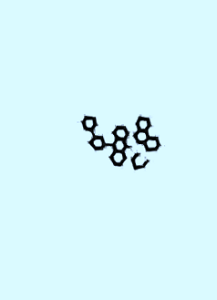 c1ccc(-c2cccc(-c3c4ccccc4c(N(c4ccccn4)c4cc5ccccc5c5ccccc45)c4ccccc34)c2)cc1